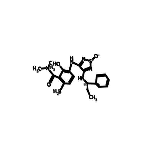 Bc1ccc(Nc2n[s+]([O-])nc2N[C@H](CC)c2ccccc2)c(O)c1C(=O)N(C)C